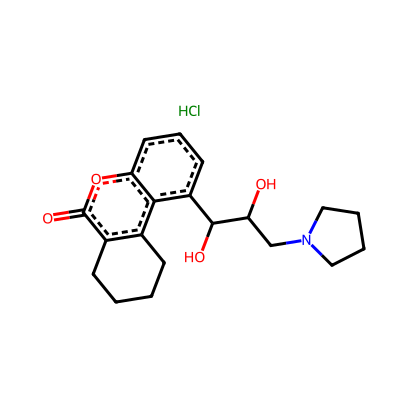 Cl.O=c1oc2cccc(C(O)C(O)CN3CCCC3)c2c2c1CCCC2